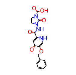 O=C(NN1CCN(C(=O)O)C1=O)c1cc(=O)c(OCc2ccccc2)c[nH]1